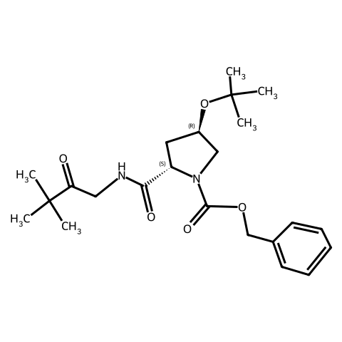 CC(C)(C)O[C@@H]1C[C@@H](C(=O)NCC(=O)C(C)(C)C)N(C(=O)OCc2ccccc2)C1